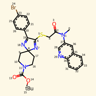 CN(C(=O)CSC1=NC2(CCN(C(=O)OC(C)(C)C)CC2)N=C1c1ccc(Br)cc1)c1cnc2ccccc2c1